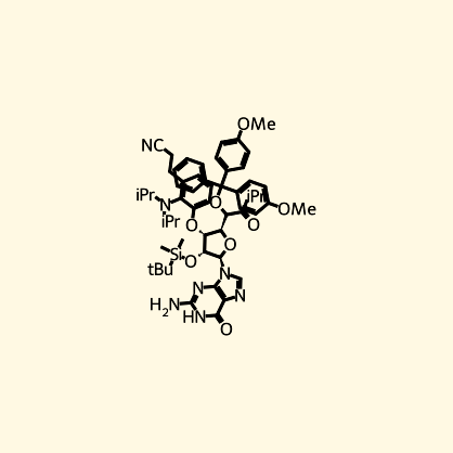 COc1ccc(C(OC(C(=O)C(C)C)[C@H]2O[C@@H](n3cnc4c(=O)[nH]c(N)nc43)[C@H](O[Si](C)(C)C(C)(C)C)[C@@H]2Oc2cccc(CCC#N)c2N(C(C)C)C(C)C)(c2ccccc2)c2ccc(OC)cc2)cc1